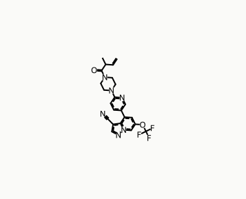 C=CC(C)C(=O)N1CCN(c2ccc(-c3cc(OC(F)(F)F)cn4ncc(C#N)c34)cn2)CC1